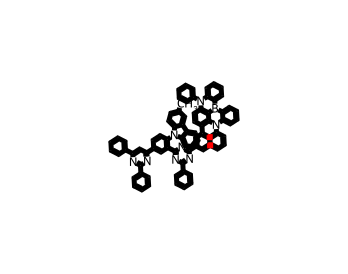 Cc1ccc2c(c1)c1ccccc1n2-c1ccc(-c2cc(-c3ccccc3)nc(-c3ccccc3)n2)cc1-c1nc(-c2ccccc2)nc(-c2cccc(-c3ccc4c5c3N(c3ccccc3)c3ccccc3B5c3ccccc3N4c3ccccc3)c2)n1